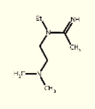 CCN(CCN(C)C)C(C)=N